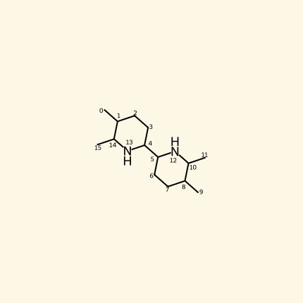 CC1CCC(C2CCC(C)C(C)N2)NC1C